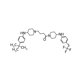 CC(C)(C)c1ccc(NC2CCN(CCCC(=O)N3CCC(Nc4ccc(SC(F)(F)F)cc4)CC3)CC2)cc1